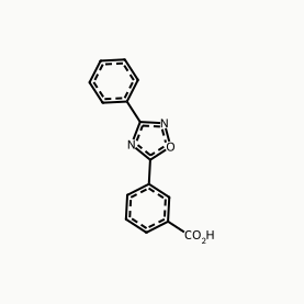 O=C(O)c1cccc(-c2nc(-c3ccccc3)no2)c1